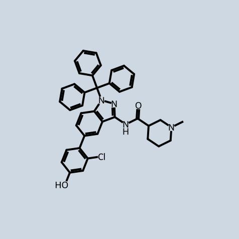 CN1CCCC(C(=O)Nc2nn(C(c3ccccc3)(c3ccccc3)c3ccccc3)c3ccc(-c4ccc(O)cc4Cl)cc23)C1